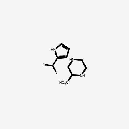 FC(F)c1ccc[nH]1.O=C(O)C1CNCCN1